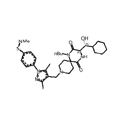 CCCCN1C(=O)[C@@H]([C@H](O)C2CCCCC2)NC(=O)C12CCN(Cc1c(C)nn(-c3ccc(SNC)cc3)c1C)CC2